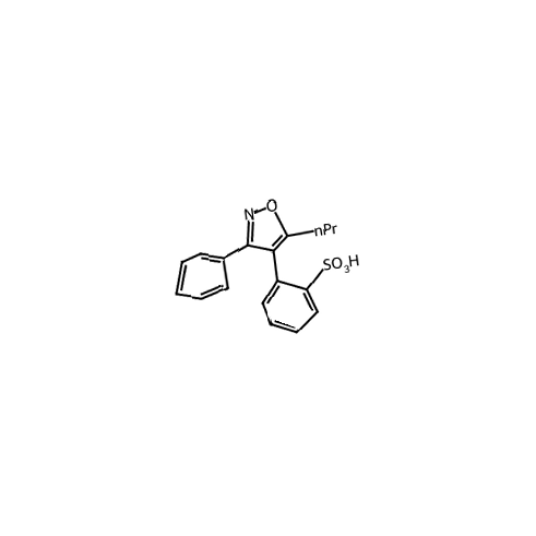 CCCc1onc(-c2ccccc2)c1-c1ccccc1S(=O)(=O)O